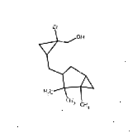 CCC1(CO)CC1CC1CC2CC2(C)C1(C)C